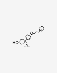 CN(C)CC1(c2ccc(OCCCN3CCCC3)cc2)CCC(O)CC1